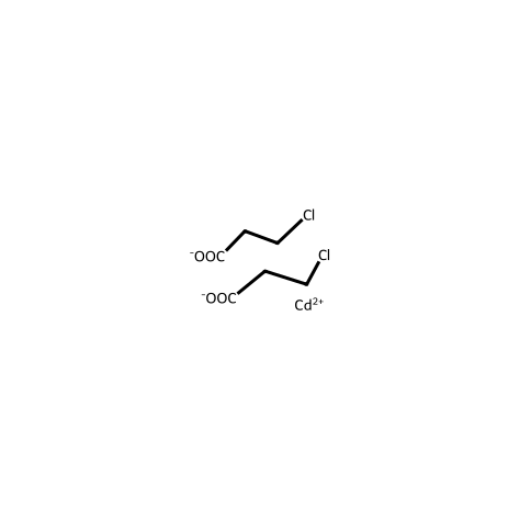 O=C([O-])CCCl.O=C([O-])CCCl.[Cd+2]